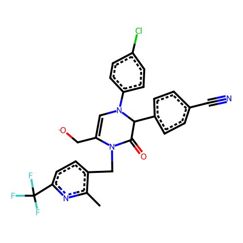 Cc1nc(C(F)(F)F)ccc1CN1C(=O)C(c2ccc(C#N)cc2)N(c2ccc(Cl)cc2)C=C1C[O]